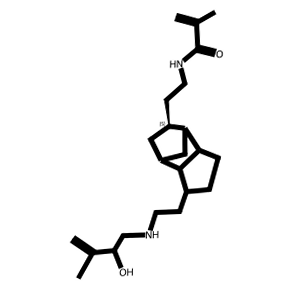 C=C(C)C(=O)NCC[C@@H]1CC2CC1C1CCC(CCNCC(O)C(=C)C)C21